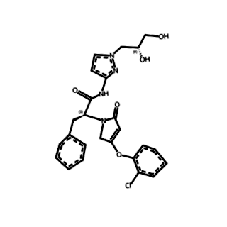 O=C(Nc1ccn(C[C@@H](O)CO)n1)[C@H](Cc1ccccc1)N1CC(Oc2ccccc2Cl)=CC1=O